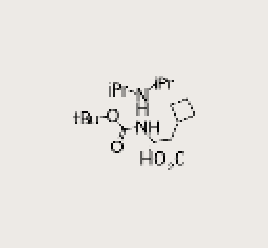 CC(C)(C)OC(=O)N[C@H](CC1CCC1)C(=O)O.CC(C)NC(C)C